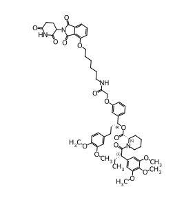 CC[C@H](C(=O)N1CCCC[C@H]1C(=O)O[C@H](CCc1ccc(OC)c(OC)c1)c1cccc(OCC(=O)NCCCCCCOc2cccc3c2C(=O)N(C2CCC(=O)NC2=O)C3=O)c1)c1cc(OC)c(OC)c(OC)c1